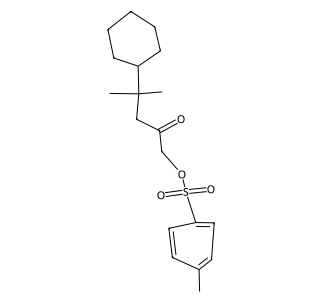 Cc1ccc(S(=O)(=O)OCC(=O)CC(C)(C)C2CCCCC2)cc1